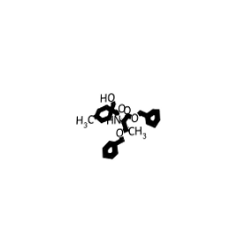 CC1CCC(CO)(C(=O)N[C@H](C(=O)OCc2ccccc2)[C@@H](C)OCc2ccccc2)CC1